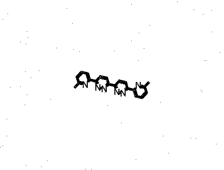 Cc1cccc(-c2ccc(-c3ccc(-c4cccc(C)n4)nn3)nn2)n1